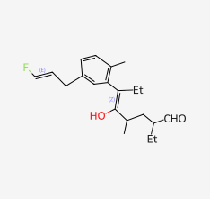 CC/C(=C(/O)C(C)CC(C=O)CC)c1cc(C/C=C/F)ccc1C